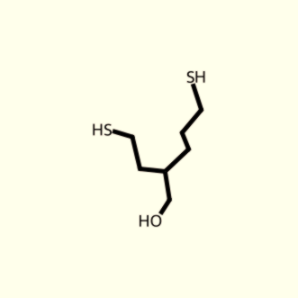 OCC(CCS)CCCS